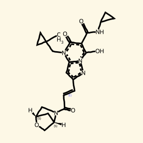 CC1(Cn2c(=O)c(C(=O)NC3CC3)c(O)n3nc(/C=C/C(=O)N4C[C@@H]5C[C@H]4CO5)cc23)CC1